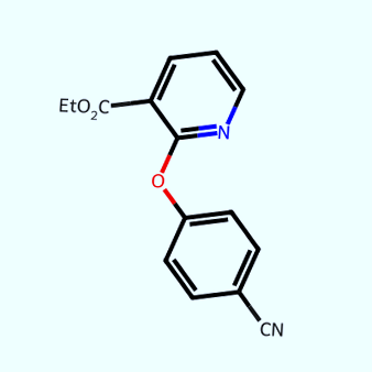 CCOC(=O)c1cccnc1Oc1ccc(C#N)cc1